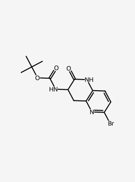 CC(C)(C)OC(=O)NC1Cc2nc(Br)ccc2NC1=O